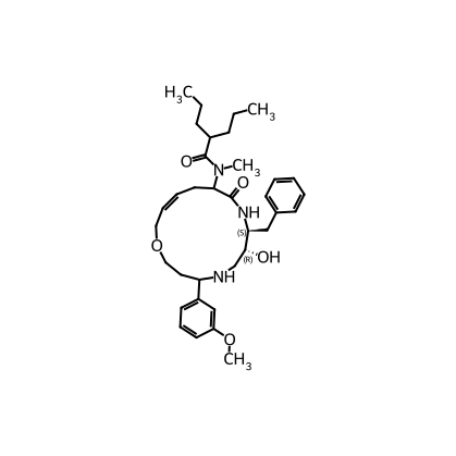 CCCC(CCC)C(=O)N(C)C1CC=CCOCCC(c2cccc(OC)c2)NC[C@@H](O)[C@H](Cc2ccccc2)NC1=O